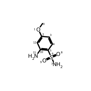 COc1ccc(S(N)(=O)=O)c(N)c1